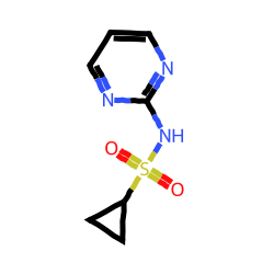 O=S(=O)(Nc1ncccn1)C1CC1